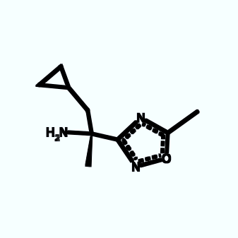 Cc1nc([C@](C)(N)CC2CC2)no1